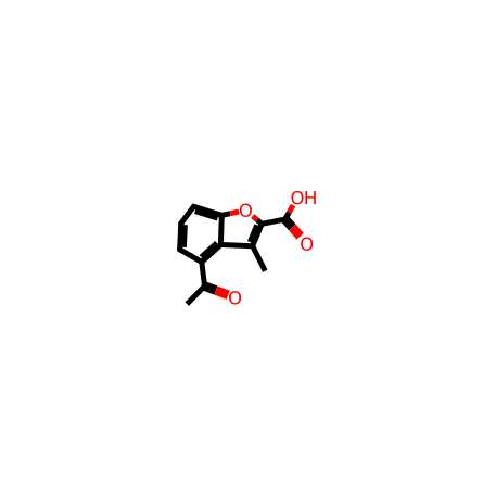 CC(=O)c1cccc2oc(C(=O)O)c(C)c12